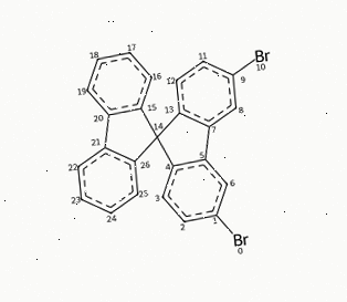 Brc1ccc2c(c1)-c1cc(Br)ccc1C21c2ccccc2-c2ccccc21